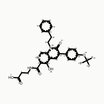 O=C(O)CCNC(=O)c1ncc2c(cc(-c3ccc(OC(F)(F)F)cc3)c(=O)n2CCc2ccccc2)c1O